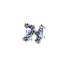 CN1Cc2ccccc2C=C1c1cc(C2=CC(c3cccc(-c4ccccc4)c3)NC(c3ccc(C4C=CC=CN4)cc3)=C2)cc(C2C=c3ccccc3=CN2)c1